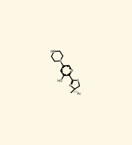 CC(=O)[C@@]1(C)CSC(c2ncc(N3CCNCC3)cc2O)=N1